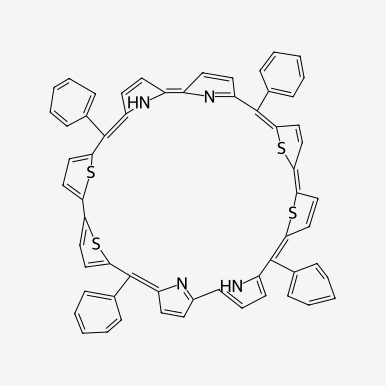 C1=Cc2nc1c(-c1ccccc1)c1ccc(s1)c1ccc(s1)c(-c1ccccc1)c1ccc([nH]1)c1nc(c(-c3ccccc3)c3ccc(s3)c3ccc(s3)c(-c3ccccc3)c3ccc2[nH]3)C=C1